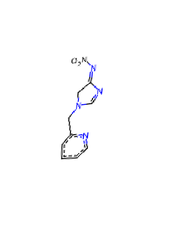 O=[N+]([O-])/N=C1\CN(Cc2ccccn2)C=N1